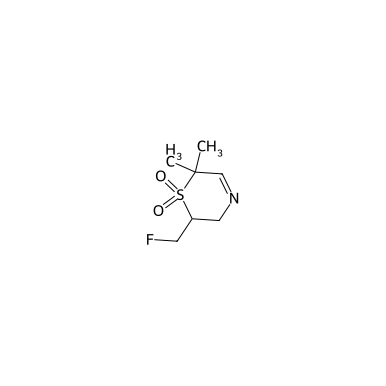 CC1(C)C=NCC(CF)S1(=O)=O